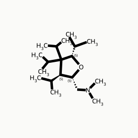 CC(C)[C@@H]1[C@@H](CN(C)C)O[C@@H](C(C)C)C1(C(C)C)C(C)C